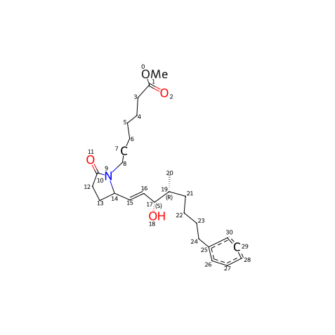 COC(=O)CCCCCCN1C(=O)CCC1C=C[C@@H](O)[C@H](C)CCCCc1ccccc1